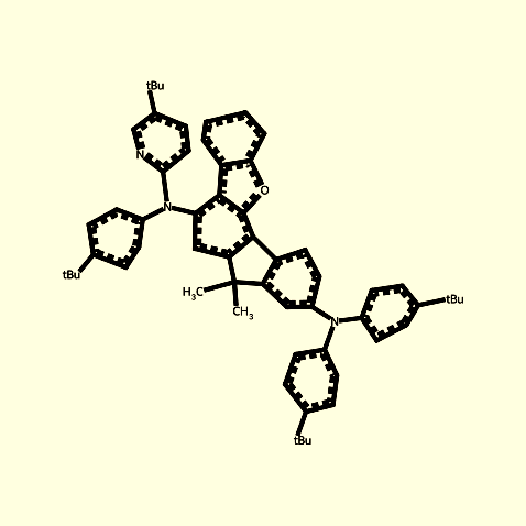 CC(C)(C)c1ccc(N(c2ccc(C(C)(C)C)cc2)c2ccc3c(c2)C(C)(C)c2cc(N(c4ccc(C(C)(C)C)cc4)c4ccc(C(C)(C)C)cn4)c4c(oc5ccccc54)c2-3)cc1